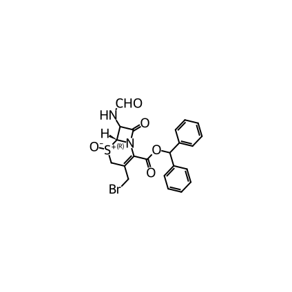 O=CNC1C(=O)N2C(C(=O)OC(c3ccccc3)c3ccccc3)=C(CBr)C[S+]([O-])[C@H]12